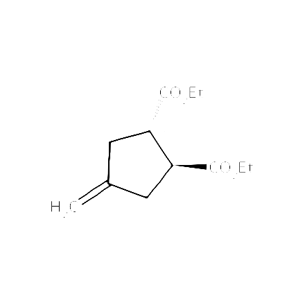 C=C1C[C@H](C(=O)OCC)[C@@H](C(=O)OCC)C1